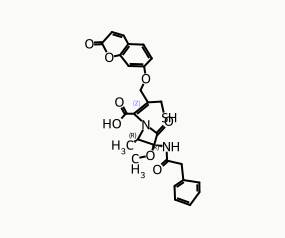 CO[C@@]1(NC(=O)Cc2ccccc2)C(=O)N(/C(C(=O)O)=C(\CS)COc2ccc3ccc(=O)oc3c2)[C@@H]1C